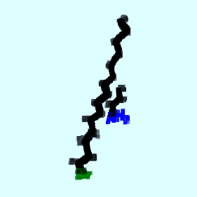 CCCCCCCCCCCCCCCBr.CCCN